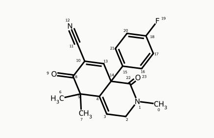 CN1CC=C2C(C)(C)C(=O)C(C#N)=CC2(c2ccc(F)cc2)C1=O